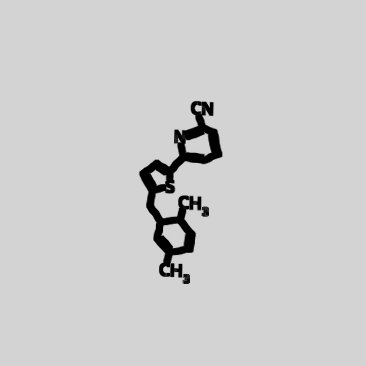 CC1=CC(Cc2ccc(-c3cccc(C#N)n3)s2)C(C)C=C1